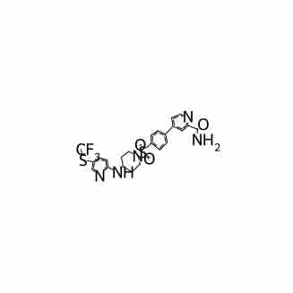 NC(=O)c1cc(-c2ccc(S(=O)(=O)N3CCC(Nc4ccc(SC(F)(F)F)cn4)CC3)cc2)ccn1